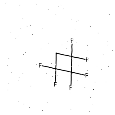 FC1(F)CC(F)(F)C1(F)F